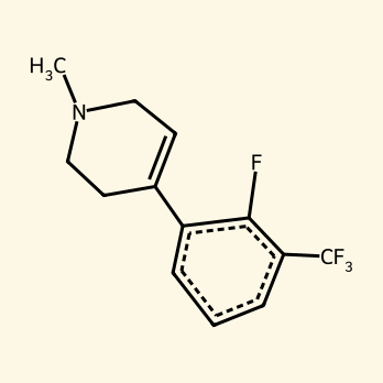 CN1CC=C(c2cccc(C(F)(F)F)c2F)CC1